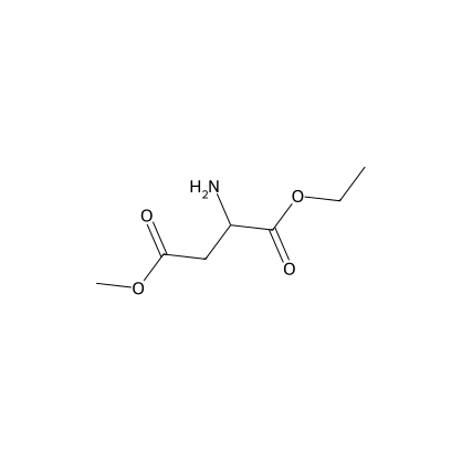 CCOC(=O)C(N)CC(=O)OC